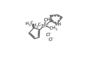 C=C1C=CC=[C]1[Zr+2]([CH3])([CH3])([CH3])[c]1ccc[pH]1.[Cl-].[Cl-]